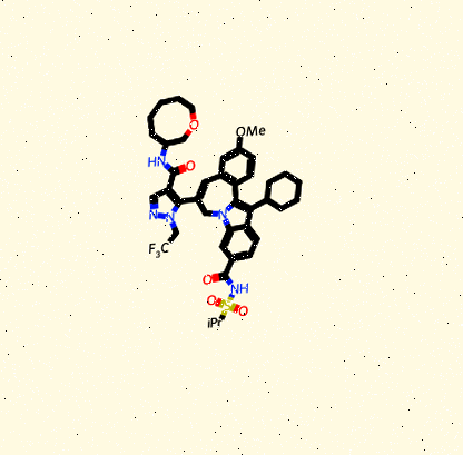 COc1ccc2c(c1)C=C(c1c(C(=O)NC3CCCCCOC3)cnn1CC(F)(F)F)Cn1c-2c(C2CCCCC2)c2ccc(C(=O)NS(=O)(=O)C(C)C)cc21